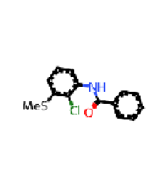 CSc1cccc(NC(=O)c2ccccc2)c1Cl